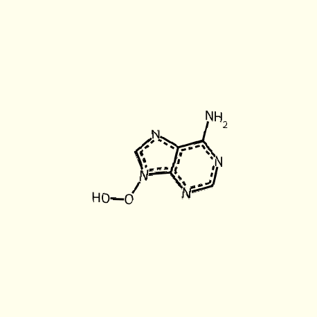 Nc1ncnc2c1ncn2OO